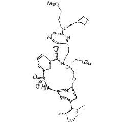 COCCN(c1cncc(CN2C(=O)c3cccc(c3)S(=O)(=O)Nc3nc(cc(-c4c(C)cccc4C)n3)OC[C@H]2CC(C)(C)C)n1)C1CCC1